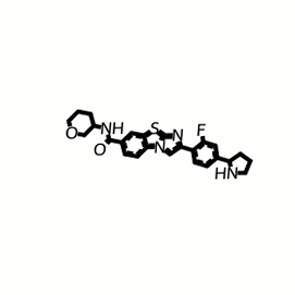 O=C(NC1CCCOC1)c1ccc2c(c1)sc1nc(-c3ccc(C4CCCN4)cc3F)cn12